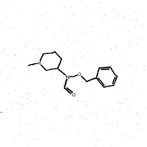 CN1CCCC(N(C=O)OCc2ccccc2)C1